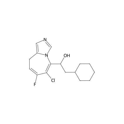 OC(CC1CCCCC1)C1=C(Cl)C(F)=CCc2cncn21